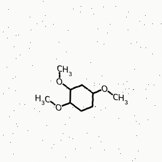 COC1[CH]CC(OC)C(OC)C1